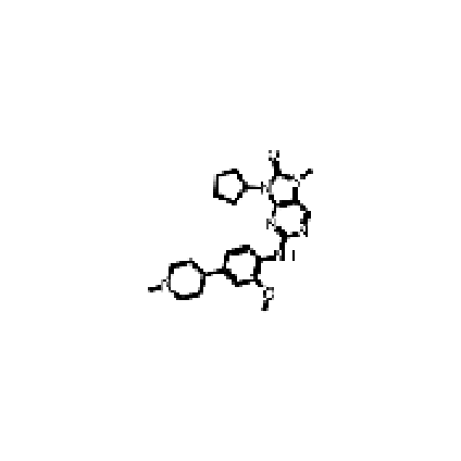 COc1cc(C2CCN(C)CC2)ccc1Nc1ncc2c(n1)n(C1CCCC1)c(=O)n2C